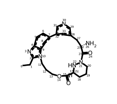 CCc1nc2ccc3cc2n1CCCOC(=O)[C@@H]1CCCN(N1)C(=O)[C@@H](N)Cc1cncc-3c1